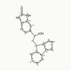 O=c1[nH]c2ccc(C(O)CC3c4ccccc4-c4cncn43)cc2[nH]1